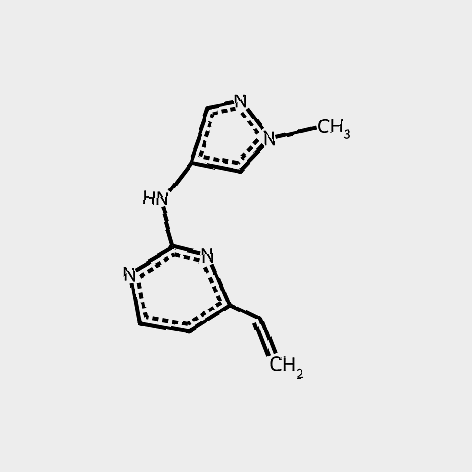 C=Cc1ccnc(Nc2cnn(C)c2)n1